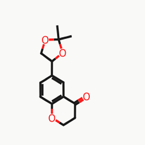 CC1(C)OCC(c2ccc3c(c2)C(=O)CCO3)O1